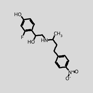 CC(CCc1ccc([N+](=O)[O-])cc1)NCC(O)c1ccc(O)cc1F